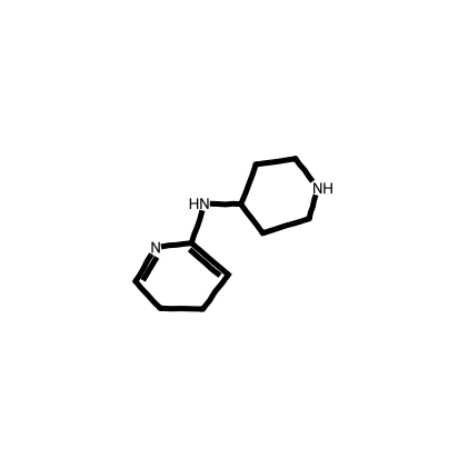 C1=NC(NC2CCNCC2)=CCC1